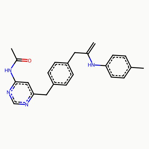 C=C(Cc1ccc(Cc2cc(NC(C)=O)ncn2)cc1)Nc1ccc(C)cc1